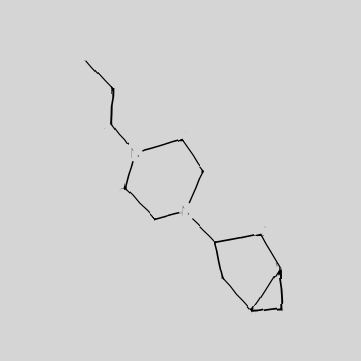 FCCN1CCN(C2CC3CC3C2)CC1